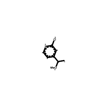 COC(C)c1ccnc(Cl)c1